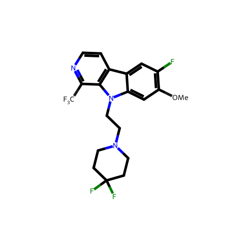 COc1cc2c(cc1F)c1ccnc(C(F)(F)F)c1n2CCN1CCC(F)(F)CC1